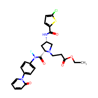 CCOC(=O)CCN1C[C@@H](NC(=O)c2ccc(Cl)s2)C[C@H]1C(=O)N(F)c1ccc(-n2ccccc2=O)cc1